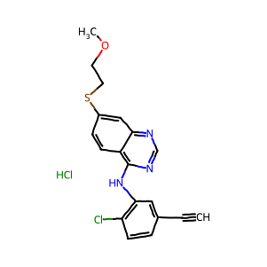 C#Cc1ccc(Cl)c(Nc2ncnc3cc(SCCOC)ccc23)c1.Cl